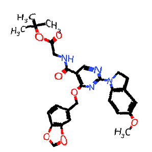 COc1ccc2c(c1)CCN2c1ncc(C(=O)NCC(=O)OC(C)(C)C)c(OCc2ccc3c(c2)OCO3)n1